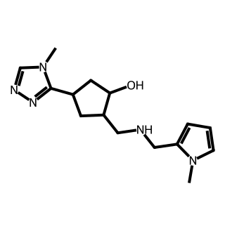 Cn1cccc1CNCC1CC(c2nncn2C)CC1O